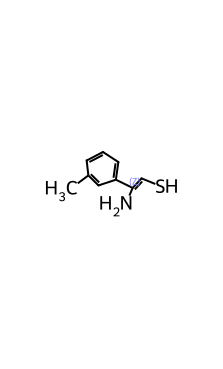 Cc1cccc(/C(N)=C/S)c1